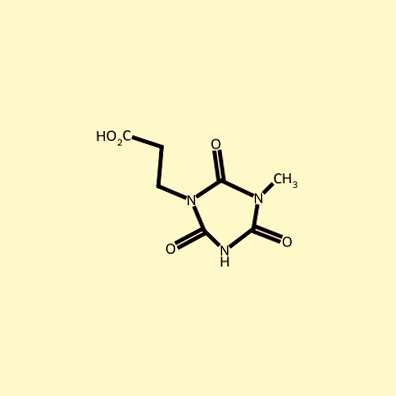 Cn1c(=O)[nH]c(=O)n(CCC(=O)O)c1=O